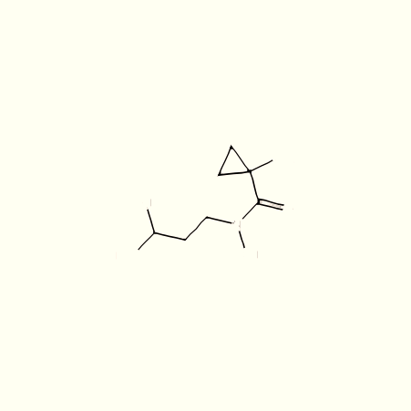 CC(C)CCN(C)C(=O)C1(C)CC1